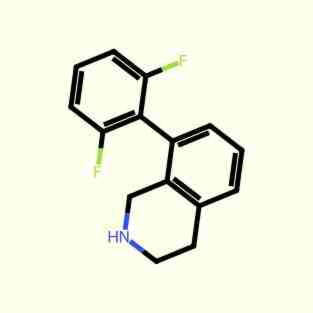 Fc1cccc(F)c1-c1cccc2c1CNCC2